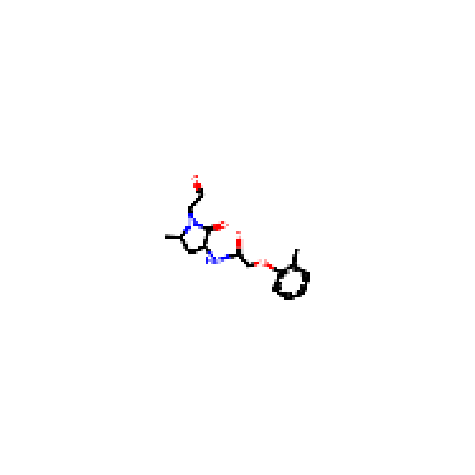 Cc1ccccc1OCC(=O)NC1CC(C)N(CC=O)C1=O